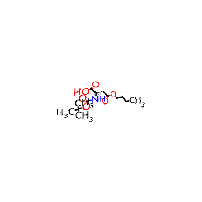 CCCCOC(=O)C[C@H](NC(=O)OC(C)(C)C)C(=O)O